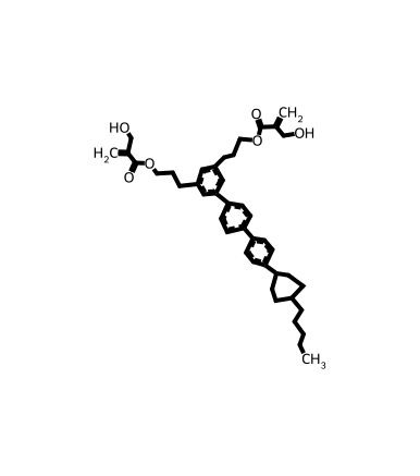 C=C(CO)C(=O)OCCCc1cc(CCCOC(=O)C(=C)CO)cc(-c2ccc(-c3ccc(C4CCC(CCCCC)CC4)cc3)cc2)c1